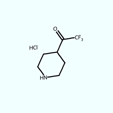 Cl.O=C(C1CCNCC1)C(F)(F)F